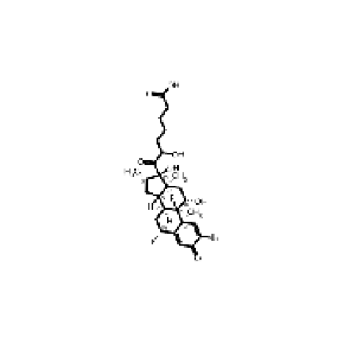 C[C@H]1C[C@H]2[C@@H]3C[C@@H](F)C4=CC(=O)C(Br)=C[C@]4(C)[C@@]3(F)[C@@H](O)C[C@]2(C)[C@@]1(O)C(=O)C(O)CCCCC(=O)O